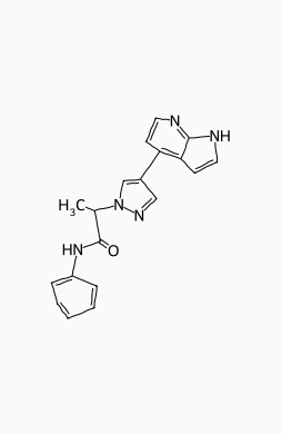 CC(C(=O)Nc1ccccc1)n1cc(-c2ccnc3[nH]ccc23)cn1